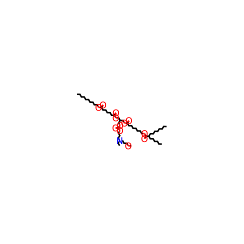 CCCCCCCCCCOC(=O)CCCCCC(=O)OCC(COC(=O)CCCCCCCOC(=O)C(CCCCCC)CCCCCCCC)COC(=O)OCCCN(CC)CCCOC